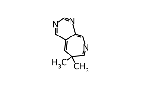 CC1(C)C=NC=c2ncncc2=C1